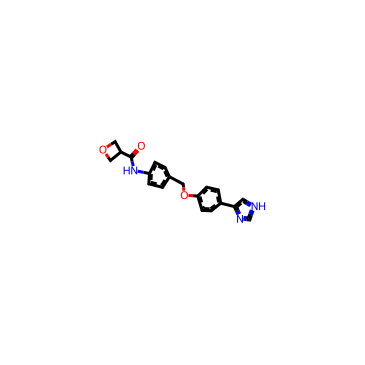 O=C(Nc1ccc(COc2ccc(-c3c[nH]cn3)cc2)cc1)C1COC1